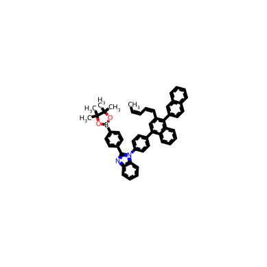 C/C=C\C=C/c1cc(-c2ccc(-n3c(-c4ccc(B5OC(C)(C)C(C)(C)O5)cc4)nc4ccccc43)cc2)c2ccccc2c1-c1ccc2ccccc2c1